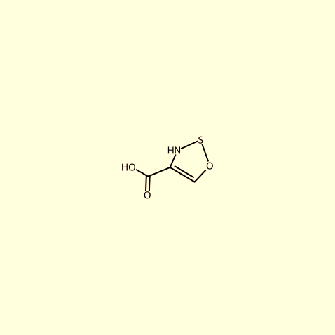 O=C(O)C1=COSN1